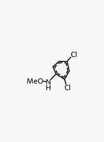 CONc1ccc(Cl)cc1Cl